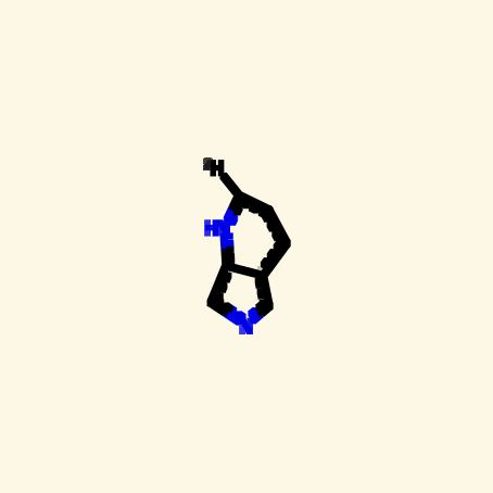 [2H]c1ccc2cncc-2[nH]1